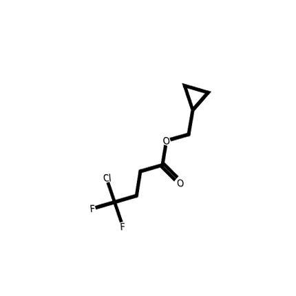 O=C(CCC(F)(F)Cl)OCC1CC1